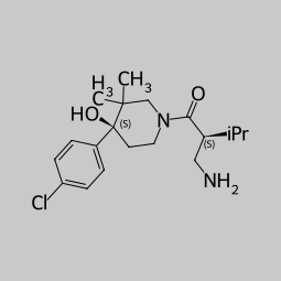 CC(C)[C@@H](CN)C(=O)N1CC[C@](O)(c2ccc(Cl)cc2)C(C)(C)C1